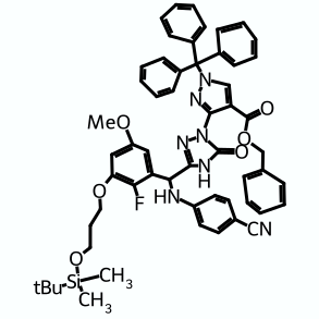 COc1cc(OCCCO[Si](C)(C)C(C)(C)C)c(F)c(C(Nc2ccc(C#N)cc2)c2nn(-c3nn(C(c4ccccc4)(c4ccccc4)c4ccccc4)cc3C(=O)OCc3ccccc3)c(=O)[nH]2)c1